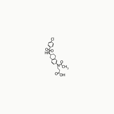 CC(=O)N(CCC(=O)O)c1ccc2c(c1)CCC(NS(=O)(=O)c1ccc(Cl)cc1)C2